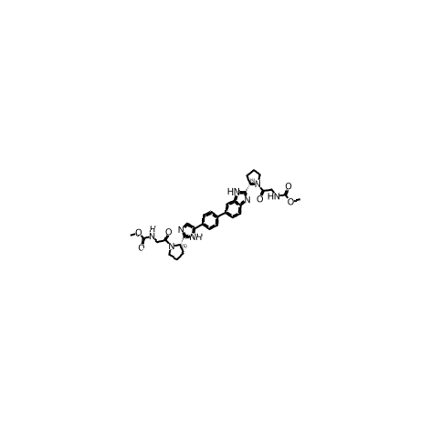 COC(=O)NCC(=O)N1CCC[C@H]1c1ncc(-c2ccc(-c3ccc4nc([C@@H]5CCCN5C(=O)CNC(=O)OC)[nH]c4c3)cc2)[nH]1